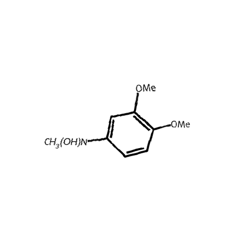 COc1ccc(N(C)O)cc1OC